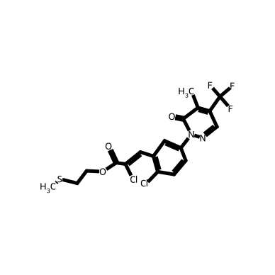 CSCCOC(=O)/C(Cl)=C/c1cc(-n2ncc(C(F)(F)F)c(C)c2=O)ccc1Cl